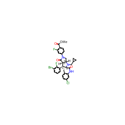 COC(=O)c1ccc(N2C[C@H]3[C@@H](C2=O)[C@H](c2cccc(Br)c2F)[C@@]2(Cc4ccc(Cl)cc4NC2=O)N3CC2CC2)cc1F